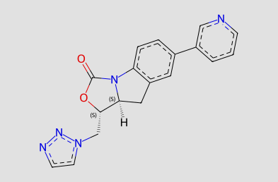 O=C1O[C@@H](Cn2ccnn2)[C@@H]2Cc3cc(-c4cccnc4)ccc3N12